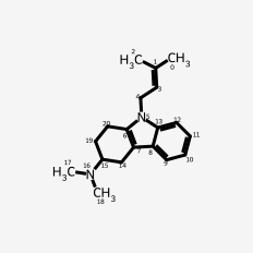 CC(C)=CCn1c2c(c3ccccc31)CC(N(C)C)CC2